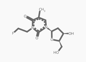 Cc1cn([C@H]2C[C@@H](O)[C@@H](CO)O2)c(=O)n(CCF)c1=O